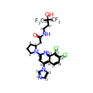 O=C(C[C@@H]1CCCN1c1cc(-n2ccnc2)c2ccc(Cl)c(Cl)c2n1)NCCC(O)(C(F)(F)F)C(F)(F)F